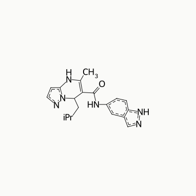 CC1=C(C(=O)Nc2ccc3[nH]ncc3c2)C(CC(C)C)n2nccc2N1